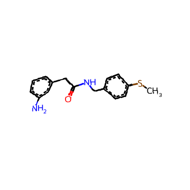 CSc1ccc(CNC(=O)Cc2cccc(N)c2)cc1